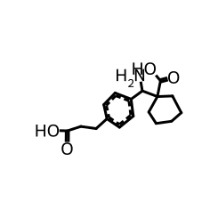 NC(c1ccc(CCC(=O)O)cc1)C1(C(=O)O)CCCCC1